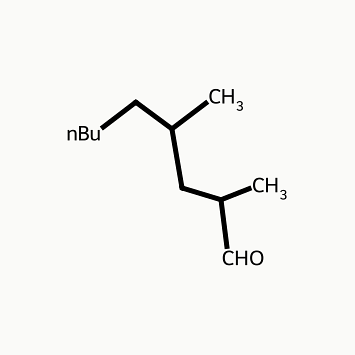 CCCCCC(C)CC(C)C=O